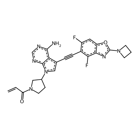 C=CC(=O)N1CCC(n2cc(C#Cc3c(F)cc4oc(N5CCC5)nc4c3F)c3c(N)ncnc32)C1